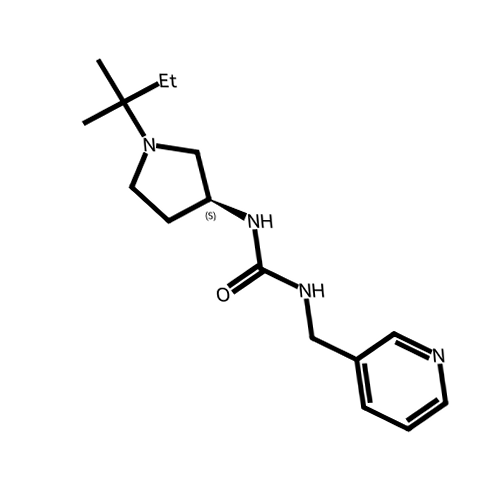 CCC(C)(C)N1CC[C@H](NC(=O)NCc2cccnc2)C1